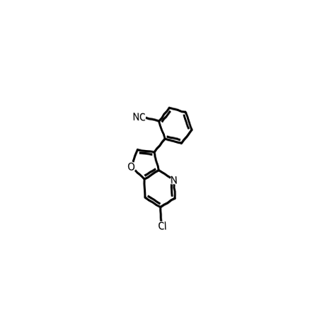 N#Cc1ccccc1-c1coc2cc(Cl)cnc12